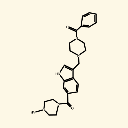 CC(C)N1CCN(C(=O)c2ccc3c(CN4CCN(C(=O)c5ccccc5)CC4)c[nH]c3c2)CC1